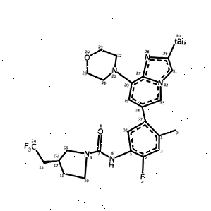 Cc1cc(F)c(NC(=O)N2CC[C@@H](CC(F)(F)F)C2)cc1-c1cc(N2CCOCC2)c2nc(C(C)(C)C)cn2c1